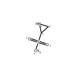 CS(=O)(=O)C1CN1